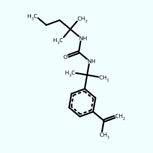 C=C(C)c1cccc(C(C)(C)NC(=O)NC(C)(C)CCC)c1